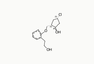 OCCc1ccccc1OC[C@@H]1C[C@H](Cl)C[C@H]1O